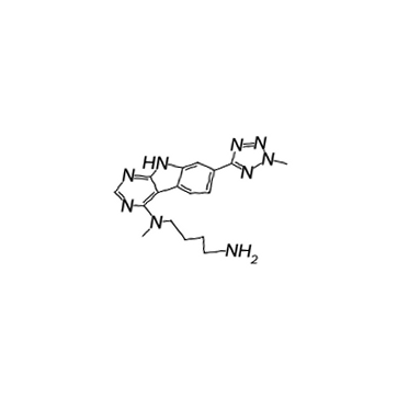 CN(CCCCN)c1ncnc2[nH]c3cc(-c4nnn(C)n4)ccc3c12